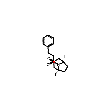 O=C1C[C@H]2CC[C@@H](C1)N2C(=O)CCc1ccccc1